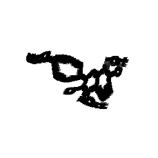 CCCCCCCCn1c(=O)ccc2c1cc(-c1ccc(OC)cc1)c(=O)n2CCCCCCCC